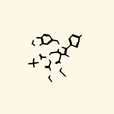 CCOC(=O)CN(Cc1c(C(=O)OCC)c(Br)c(-c2ccc(Cl)cc2)n1Cc1ccc2c(c1)OCO2)C(=O)OC(C)(C)C